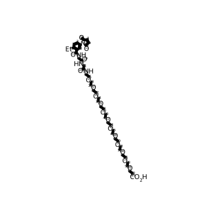 CCc1ccc(N2C(=O)C=CC2=O)cc1C(=O)NCC(=O)NCC(=O)NCCOCCOCCOCCOCCOCCOCCOCCOCCOCCOCCOCCOCCC(=O)O